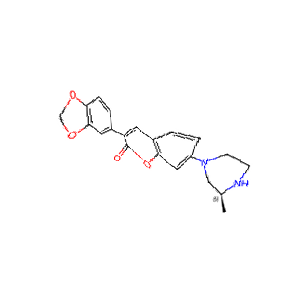 C[C@H]1CN(c2ccc3cc(-c4ccc5c(c4)OCO5)c(=O)oc3c2)CCN1